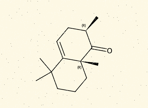 C[C@@H]1CC=C2C(C)(C)CCC[C@@]2(C)C1=O